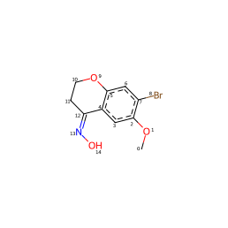 COc1cc2c(cc1Br)OCC/C2=N/O